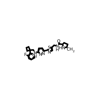 C=C1CCC(C(=O)NCc2cnc(-c3ccc(NCC4(c5ncccc5F)CCC4)nn3)s2)N1